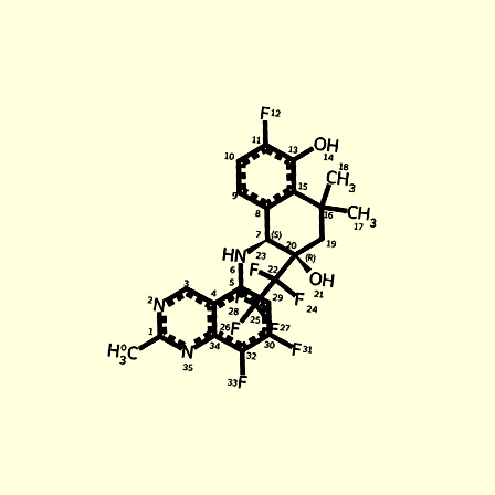 Cc1ncc2c(N[C@H]3c4ccc(F)c(O)c4C(C)(C)C[C@]3(O)C(F)(F)C(F)(F)F)cc(F)c(F)c2n1